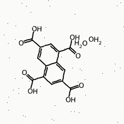 O.O.O=C(O)c1cc(C(=O)O)c2cc(C(=O)O)cc(C(=O)O)c2c1